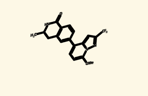 COc1ccc(-c2ccc3c(c2)CC(C)NC3=O)c2cc(C(F)(F)F)nn12